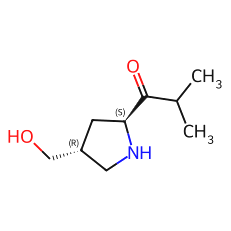 CC(C)C(=O)[C@@H]1C[C@@H](CO)CN1